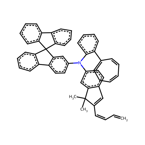 C=C/C=C\C1=Cc2ccc(N(c3ccc4c(c3)C3(c5ccccc5-c5ccccc53)c3ccccc3-4)c3ccccc3C3=CCC=CC=C3)cc2C1(C)C